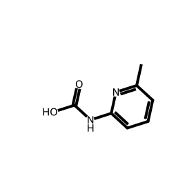 Cc1cccc(NC(=O)O)n1